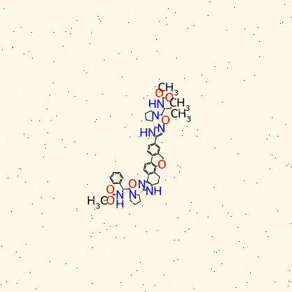 COC(=O)N[C@H](C(=O)N1CCC[C@H]1c1ncc(-c2ccc3c(c2)COc2c-3ccc3c2CCc2[nH]c([C@@H]4CCCN4C(=O)[C@H](NC(=O)OC)c4ccccc4)nc2-3)[nH]1)C(C)C